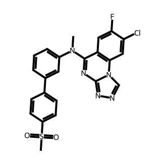 CN(c1cccc(-c2ccc(S(C)(=O)=O)cc2)c1)c1nc2nncn2c2cc(Cl)c(F)cc12